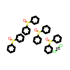 O=S(c1ccccc1)c1ccccc1.O=S(c1ccccc1)c1ccccc1.O=S(c1ccccc1)c1ccccc1.O=S(c1ccccc1)c1ccccc1.[Cl][Ru][Cl]